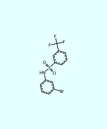 O=S(=O)(Nc1cccc(Br)c1)c1cccc(C(F)(F)F)c1